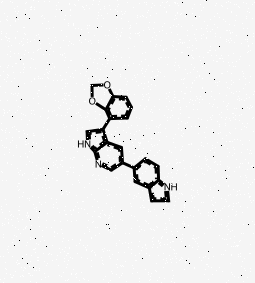 c1cc2c(c(-c3c[nH]c4ncc(-c5ccc6[nH]ccc6c5)cc34)c1)OCO2